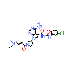 CCN(C)CC=CC(=O)N1CCC(n2cc(C(=O)Nc3nc4cc(Cl)ccc4o3)c3c(N)ncnc32)C1